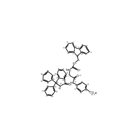 O=C(C[C@H](NC(=O)OCC1c2ccccc2-c2ccccc21)C(=O)Nc1ccc(C(=O)O)cc1)NC(c1ccccc1)(c1ccccc1)c1ccccc1